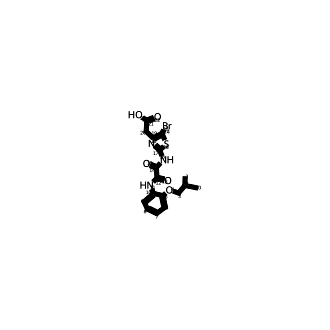 CC(C)COc1ccccc1NC(=O)C(=O)Nc1nc(CC(=O)O)c(Br)s1